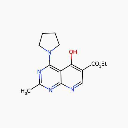 CCOC(=O)c1cnc2nc(C)nc(N3CCCC3)c2c1O